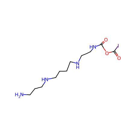 NCCCNCCCCNCCNC(=O)OC(=O)I